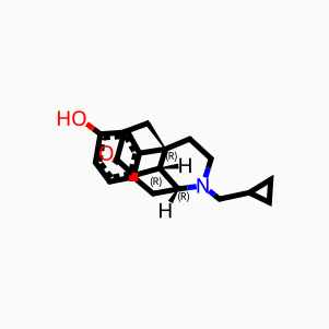 O=C1CC[C@]23CCN(CC4CC4)[C@H](Cc4ccc(O)cc42)[C@@H]3C1